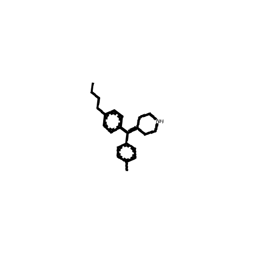 CCCCc1ccc(C(=C2CCNCC2)c2ccc(C)cc2)cc1